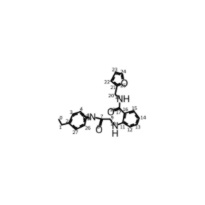 CCc1ccc(NC(=O)CNc2ccccc2C(=O)NCc2ccco2)cc1